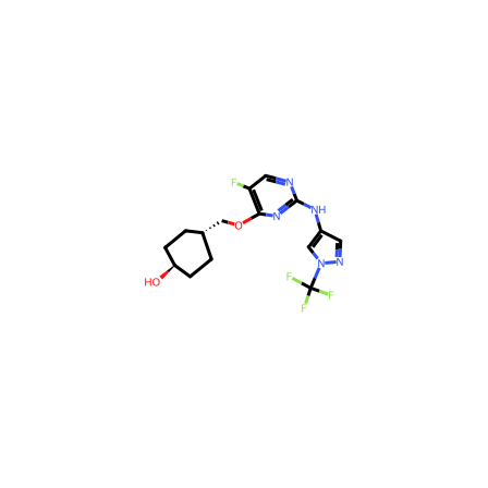 O[C@H]1CC[C@H](COc2nc(Nc3cnn(C(F)(F)F)c3)ncc2F)CC1